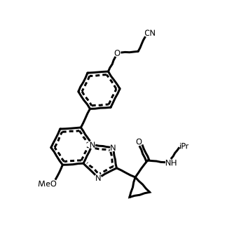 COc1ccc(-c2ccc(OCC#N)cc2)n2nc(C3(C(=O)NC(C)C)CC3)nc12